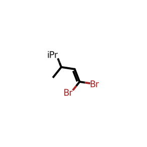 CC(C)C(C)C=C(Br)Br